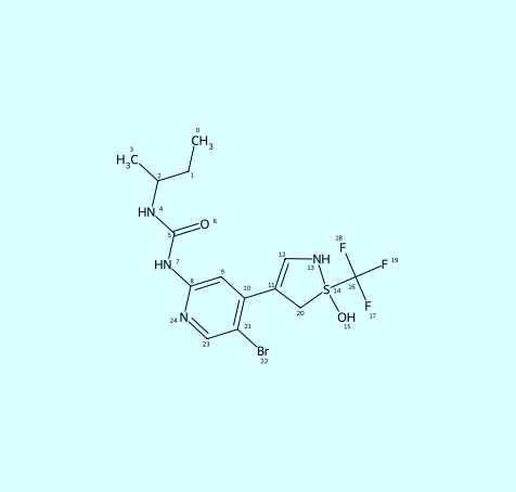 CCC(C)NC(=O)Nc1cc(C2=CNS(O)(C(F)(F)F)C2)c(Br)cn1